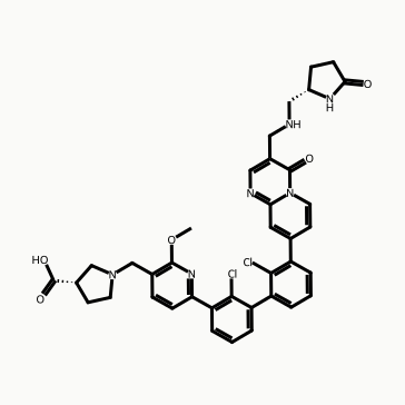 COc1nc(-c2cccc(-c3cccc(-c4ccn5c(=O)c(CNC[C@@H]6CCC(=O)N6)cnc5c4)c3Cl)c2Cl)ccc1CN1CC[C@H](C(=O)O)C1